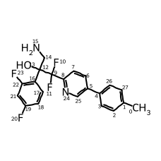 Cc1ccc(-c2ccc(C(F)(F)C(O)(CN)c3ccc(F)cc3F)nc2)cc1